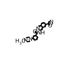 CN1CCN(c2cccc(C(=O)Nc3cc4cc(-c5cnco5)ccc4cn3)c2)CC1